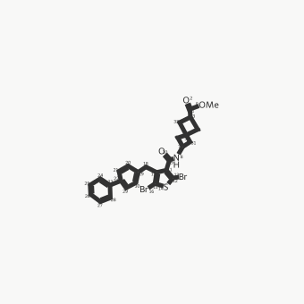 COC(=O)C1CC2(CC(NC(=O)c3c(Br)sc(Br)c3Cc3ccc(-c4ccccc4)cc3)C2)C1